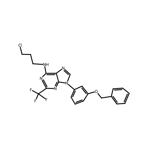 FC(F)(F)c1nc(NCCCCl)c2ncn(-c3cccc(OCc4ccccc4)c3)c2n1